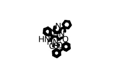 C[C@@](Cc1c[nH]c2ccccc12)(NS(=O)(=O)c1ccccc1-c1ccccc1)C(=O)NCC1(c2ccccn2)CCCCC1